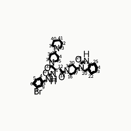 O=C(Nc1cccc(Br)c1)N[C@@H](CC(=O)N1CCC(N2Cc3ccccc3NC2=O)CC1)C(=O)N1CCC(N2CCCCC2)CC1